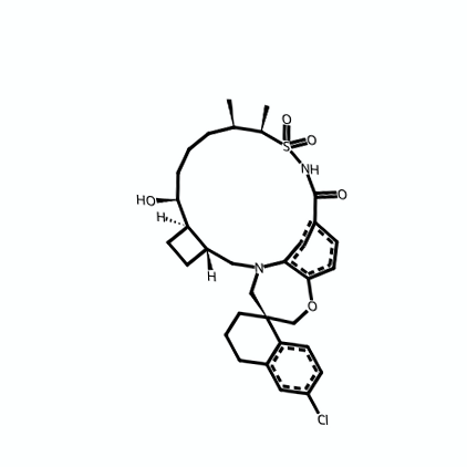 C[C@@H]1CCC[C@H](O)[C@@H]2CC[C@H]2CN2C[C@@]3(CCCc4cc(Cl)ccc43)COc3ccc(cc32)C(=O)NS(=O)(=O)[C@@H]1C